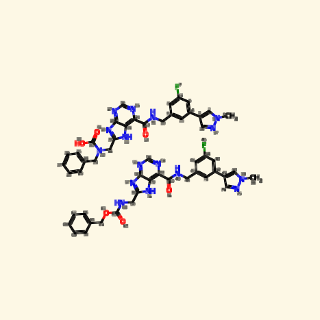 Cn1cc(-c2cc(F)cc(CNC(=O)c3ncnc4nc(CN(Cc5ccccc5)C(=O)O)[nH]c34)c2)cn1.Cn1cc(-c2cc(F)cc(CNC(=O)c3ncnc4nc(CNC(=O)OCc5ccccc5)[nH]c34)c2)cn1